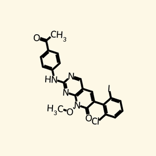 COn1c(=O)c(-c2c(Cl)cccc2I)cc2cnc(Nc3ccc(C(C)=O)cc3)nc21